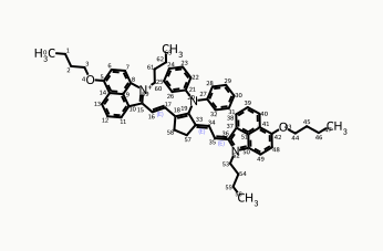 CCCCOc1ccc2c3c(cccc13)C(/C=C/C1=C(N(c3ccccc3)c3ccccc3)C(=C/C=c3\c4cccc5c(OCCCC)ccc(c54)n3CCCC)/CC1)=[N+]2CCCC